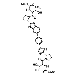 COC(=O)N[C@H](C(=O)N1CCC[C@H]1c1ncc(-c2ccc(-c3ccc4nc([C@@H]5CCCN5C(=O)[C@@H](NC(=O)OC)[C@H](C)O)[nH]c4c3)cc2)[nH]1)[C@H](C)O